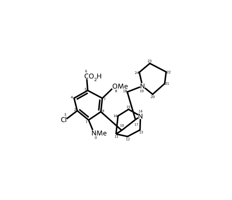 CNc1c(Cl)cc(C(=O)O)c(OC)c1C1C2CCN(CC2)C1CN1CCCCC1